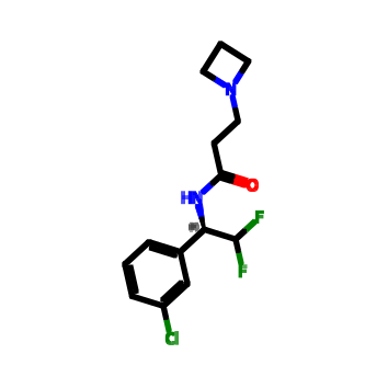 O=C(CCN1CCC1)N[C@H](c1cccc(Cl)c1)C(F)F